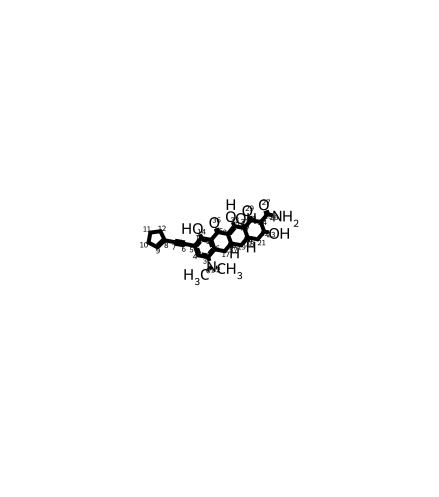 CN(C)c1cc(C#CC2=CCCC2)c(O)c2c1C[C@H]1C[C@H]3CC(O)C(C(N)=O)C(=O)[C@@]3(O)C(O)=C1C2=O